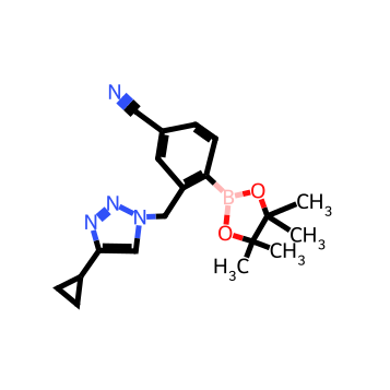 CC1(C)OB(c2ccc(C#N)cc2Cn2cc(C3CC3)nn2)OC1(C)C